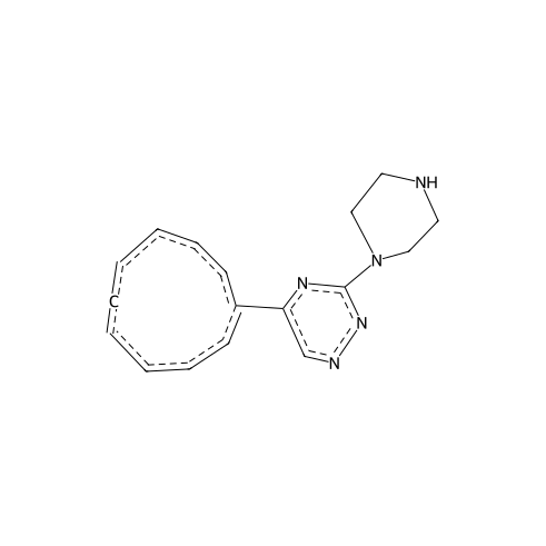 c1ccccc(-c2cnnc(N3CCNCC3)n2)cccc1